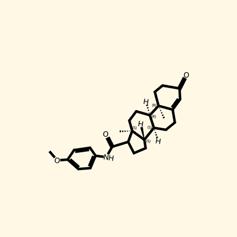 COc1ccc(NC(=O)C2CC[C@H]3[C@@H]4CCC5=CC(=O)CC[C@]5(C)[C@@H]4CC[C@]23C)cc1